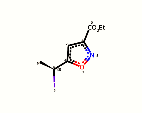 CCOC(=O)c1cc([C@H](C)I)on1